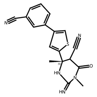 CN1C(=N)N[C@](C)(c2cc(-c3cccc(C#N)c3)cs2)C(C#N)C1=O